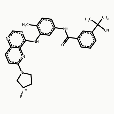 Cc1ccc(NC(=O)c2cccc(C(C)(C)C#N)c2)cc1Nc1ncnc2ccc(N3CC[C@H](F)C3)nc12